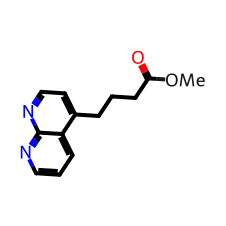 COC(=O)CCCc1ccnc2ncccc12